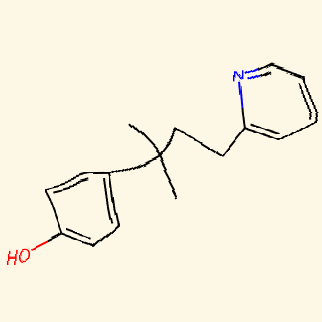 CC(C)(CCc1ccccn1)c1ccc(O)cc1